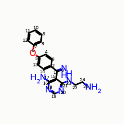 N=C(c1ccc(Oc2ccccc2)cc1)c1c(N)ncnc1NCCN